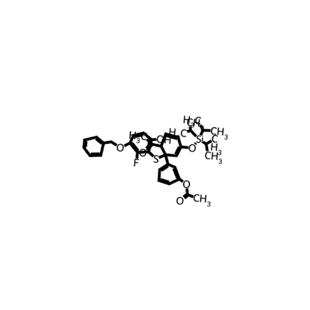 CC(=O)Oc1cccc(C2(Sc3c(O)ccc(OCc4ccccc4)c3F)C=C(O[Si](C(C)C)(C(C)C)C(C)C)C=CC2C(C)=O)c1